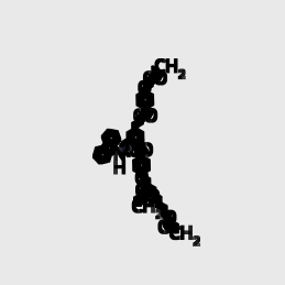 C=CC(=O)OCCCCOCC(COc1ccc(C(=O)Oc2ccc(CCOC(=O)c3ccc(OCOC(=O)C=C)cc3)cc2/C=N/NC2c3ccccc3-c3ccccc32)cc1)OC(=O)C=C